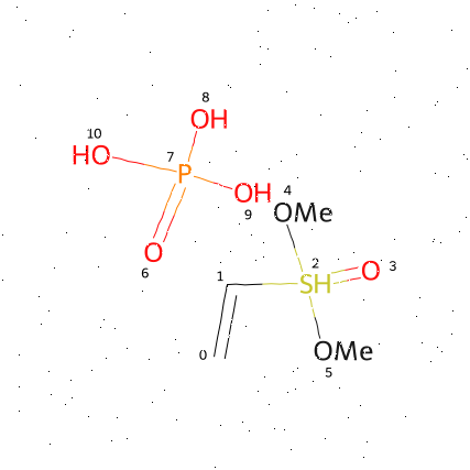 C=C[SH](=O)(OC)OC.O=P(O)(O)O